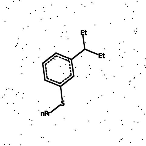 CCCSc1cccc(C(CC)CC)c1